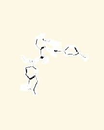 Cc1cc2cc(NC(=O)c3ccnc4[nH]c(-c5ccc(F)cc5)nc34)ccc2[nH]1